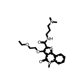 CCOCCOc1c(C(=O)NCCCN(C)C)sc2c1c(=O)n(C)c1ccccc21